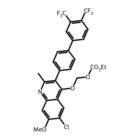 CCOC(=O)OCOc1c(-c2ccc(-c3ccc(C(F)(F)F)c(C(F)(F)F)c3)cc2)c(C)nc2cc(OC)c(Cl)cc12